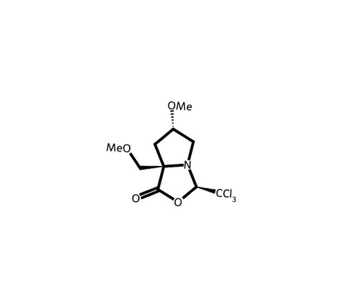 COC[C@@]12C[C@H](OC)CN1[C@@H](C(Cl)(Cl)Cl)OC2=O